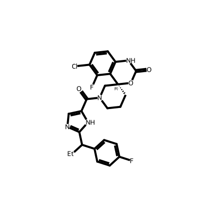 CCC(c1ccc(F)cc1)c1ncc(C(=O)N2CCC[C@@]3(C2)OC(=O)Nc2ccc(Cl)c(F)c23)[nH]1